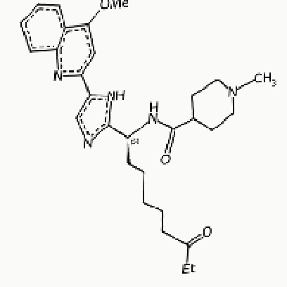 CCC(=O)CCCCC[C@H](NC(=O)C1CCN(C)CC1)c1ncc(-c2cc(OC)c3ccccc3n2)[nH]1